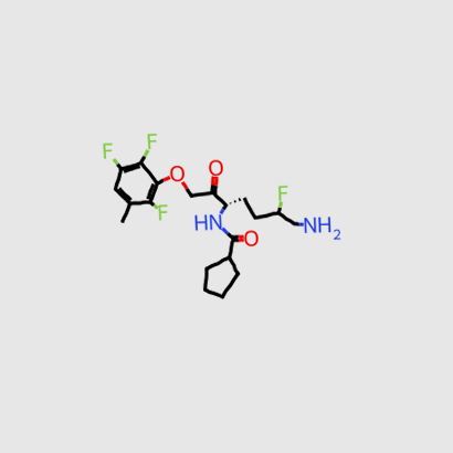 Cc1cc(F)c(F)c(OCC(=O)[C@H](CCC(F)CN)NC(=O)C2CCCC2)c1F